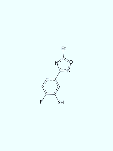 CCc1nc(-c2ccc(F)c(S)c2)no1